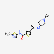 Cc1ncc(NC(=O)c2cc(C3CC3NC3CCN(C4CC4)CC3)cs2)s1